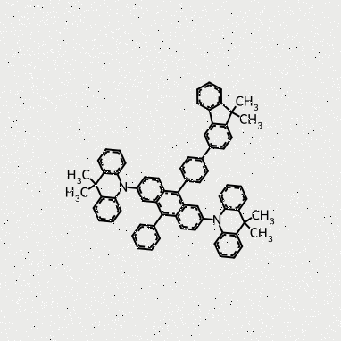 CC1(C)c2ccccc2-c2cc(-c3ccc(-c4c5ccc(N6c7ccccc7C(C)(C)c7ccccc76)cc5c(-c5ccccc5)c5ccc(N6c7ccccc7C(C)(C)c7ccccc76)cc45)cc3)ccc21